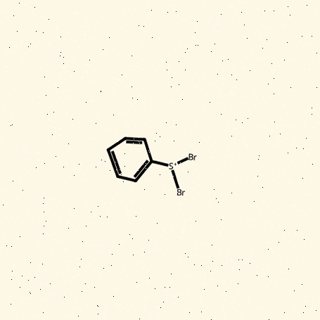 Br[S+](Br)c1ccccc1